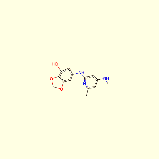 CNc1cc(C)nc(Nc2cc(O)c3c(c2)OCO3)c1